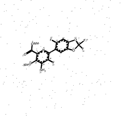 COC(=O)c1nc(-c2cc3c(cc2F)OC(F)(F)O3)c(F)c(N)c1OC